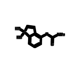 CNC(=O)Oc1cccc2c1C=CS2(O)O